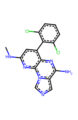 CNc1cc(-c2c(Cl)cccc2Cl)c2nc(N)c3cncn3c2n1